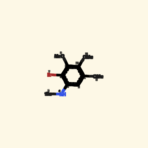 COc1cc(NC(C)(C)C)c(Br)c(OC)c1OC